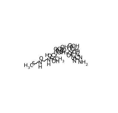 CSCCNC(=O)CCNC(=O)[C@H](O)C(C)(C)COP(=O)(O)OP(=O)(O)OC[C@H]1O[C@@H](n2cnc3c(N)ncnc32)[C@@H](O)C1OP(=O)(O)O